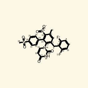 Cc1[c]c(Cc2c(F)cccc2F)c(-n2ccc(=O)[nH]c2=O)c(-c2ccc(S(C)(=O)=O)cc2)c1[N+](=O)[O-]